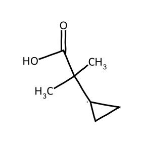 CC(C)([C]1CC1)C(=O)O